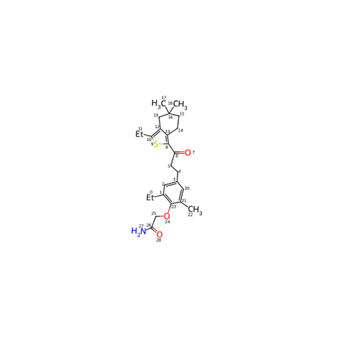 CCc1cc(CCC(=O)c2sc(CC)c3c2CCC(C)(C)C3)cc(C)c1OCC(N)=O